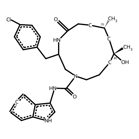 C[C@H]1CCC(=O)NC(Cc2ccc(Cl)cc2)CN(C(=O)Nc2c[nH]c3ccccc23)CCC[C@@](C)(O)C1